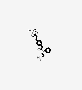 CCCN(C(=O)Cc1ccc(CCC(=O)OC)cc1)c1ccccc1